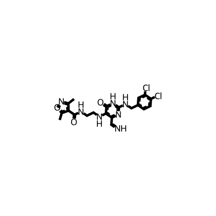 Cc1noc(C)c1C(=O)NCCNc1c(C=N)nc(NCc2ccc(Cl)c(Cl)c2)[nH]c1=O